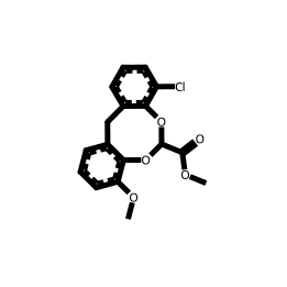 COC(=O)C1Oc2c(Cl)cccc2Cc2cccc(OC)c2O1